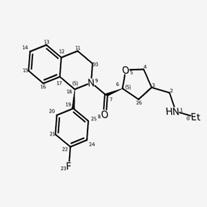 CCNCC1CO[C@H](C(=O)N2CCc3ccccc3[C@@H]2c2ccc(F)cc2)C1